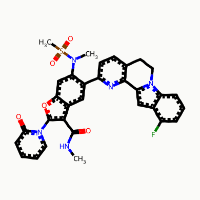 CNC(=O)c1c(-n2ccccc2=O)oc2cc(N(C)S(C)(=O)=O)c(-c3ccc4c(n3)-c3cc5c(F)cccc5n3CC4)cc12